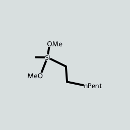 CCCCCCC[Si](C)(OC)OC